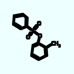 Cc1ccccc1OS(=O)(=O)c1ccccc1